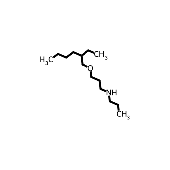 CCCCC(CC)COCCCNCCC